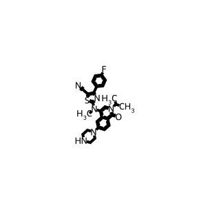 CC(C)n1cc(N(C)c2nc(-c3ccc(F)cc3)c(C#N)s2)c2cc(N3CCNCC3)ccc2c1=O